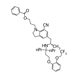 CCCC(CCC)(CCOc1ccccc1OCC(F)(F)F)N[C@H](C)Cc1cc(C#N)c2c(c1)CCN2CCCOC(=O)c1ccccc1